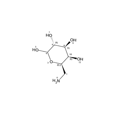 NC[C@H]1OC(O)[C@H](O)[C@@H](O)[C@H]1O